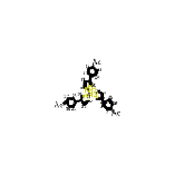 CC(=O)c1ccc(C2=C[SH]([SH]([SH]3C=CC(c4ccc(C(C)=O)cc4)=C3)[SH]3C=CC(c4ccc(C(C)=O)cc4)=C3)C=C2)cc1